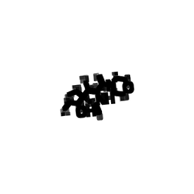 C=CN/C(C(=C)N1CCOCC1)=C(/C)[C@@](C)(CC)C(O)CC